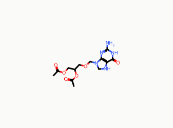 CC(=O)OCC(COCN1CNc2c1nc(N)[nH]c2=O)OC(C)=O